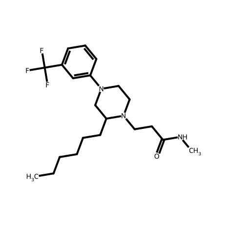 CCCCCCC1CN(c2cccc(C(F)(F)F)c2)CCN1CCC(=O)NC